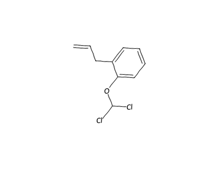 C=CCc1ccccc1OC(Cl)Cl